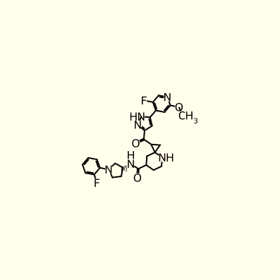 COc1cc(-c2cc(C(=O)C3CC34CC(C(=O)N[C@@H]3CCN(c5ccccc5F)C3)CCN4)n[nH]2)c(F)cn1